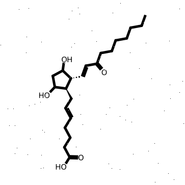 CCCCCCCC(=O)/C=C/[C@H]1C(O)CC(O)[C@@H]1C/C=C/CCCC(=O)O